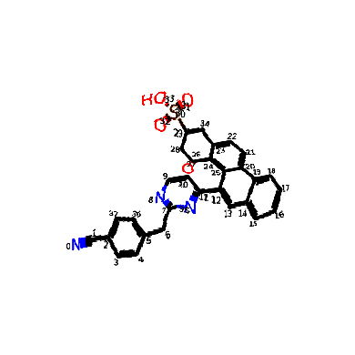 N#Cc1ccc(Cc2nccc(-c3cc4ccccc4c4ccc5c(c34)C(=O)CC(S(=O)(=O)O)C5)n2)cc1